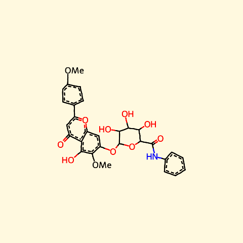 COc1ccc(-c2cc(=O)c3c(O)c(OC)c(OC4OC(C(=O)Nc5ccccc5)C(O)C(O)C4O)cc3o2)cc1